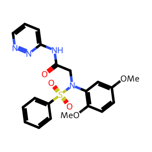 COc1ccc(OC)c(N(CC(=O)Nc2cccnn2)S(=O)(=O)c2ccccc2)c1